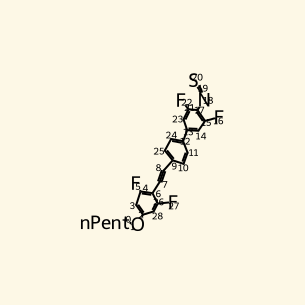 CCCCCOc1cc(F)c(C#Cc2ccc(-c3cc(F)c(N=C=S)c(F)c3)cc2)c(F)c1